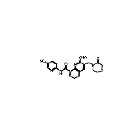 N#Cc1ccc(NC(=O)N2CCCc3cc(CN4CCOCC4=O)c(C=O)nc32)nc1